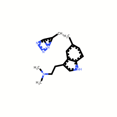 Cc1c2nnn1-2.Cc1ccc2[nH]cc(CCN(C)C)c2c1